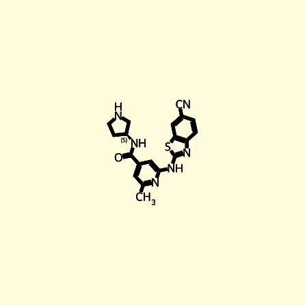 Cc1cc(C(=O)N[C@H]2CCNC2)cc(Nc2nc3ccc(C#N)cc3s2)n1